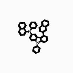 c1ccc(N(c2ccc3c(c2)c2c(-c4ccc5ccccc5c4)cccc2n3-c2ccccc2)c2cccc3ccccc23)cc1